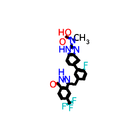 CN(C(=O)O)c1nc2cc(-c3cc(Cc4n[nH]c(=O)c5ccc(C(F)(F)F)cc45)ccc3F)ccc2[nH]1